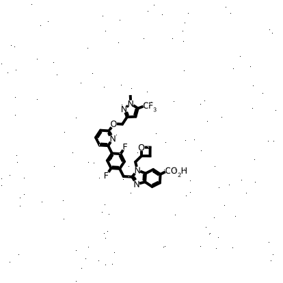 Cn1nc(COc2cccc(-c3cc(F)c(Cc4nc5ccc(C(=O)O)cc5n4CC4CCO4)cc3F)n2)cc1C(F)(F)F